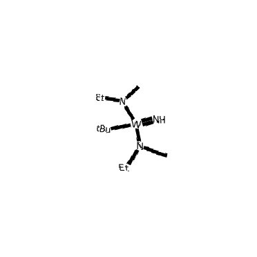 CC[N](C)[W](=[NH])([N](C)CC)[C](C)(C)C